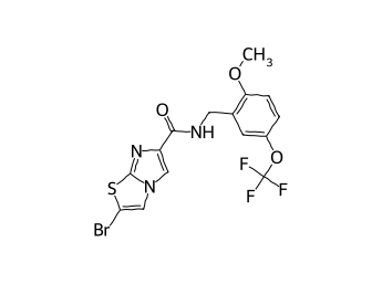 COc1ccc(OC(F)(F)F)cc1CNC(=O)c1cn2cc(Br)sc2n1